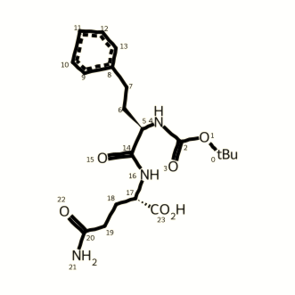 CC(C)(C)OC(=O)N[C@H](CCc1ccccc1)C(=O)N[C@@H](CCC(N)=O)C(=O)O